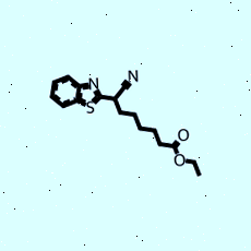 CCOC(=O)CCCCCC(C#N)c1nc2ccccc2s1